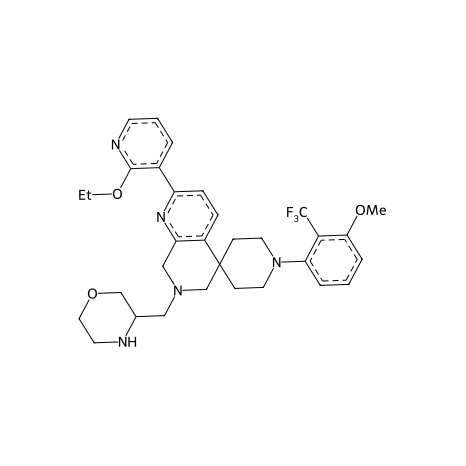 CCOc1ncccc1-c1ccc2c(n1)CN(CC1COCCN1)CC21CCN(c2cccc(OC)c2C(F)(F)F)CC1